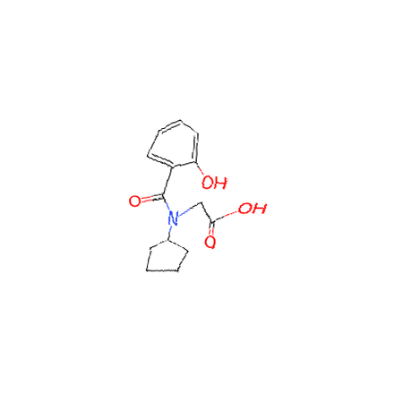 O=C(O)CN(C(=O)c1ccccc1O)C1CCCC1